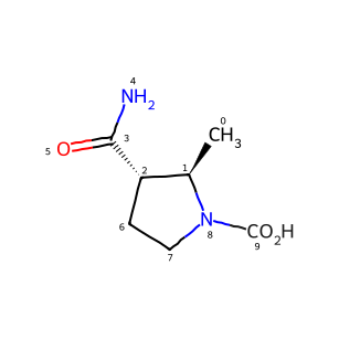 C[C@@H]1[C@@H](C(N)=O)CCN1C(=O)O